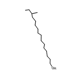 CCC(C)CCCCCCCCCCCCCO